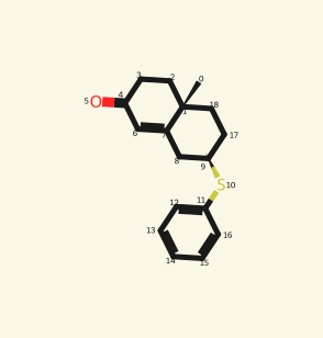 C[C@]12CCC(=O)C=C1C[C@H](Sc1ccccc1)CC2